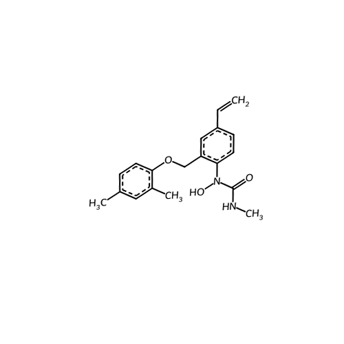 C=Cc1ccc(N(O)C(=O)NC)c(COc2ccc(C)cc2C)c1